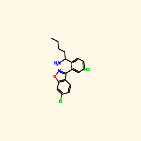 CCCCC(N)c1ccccc1-c1noc2cc(Cl)ccc12.Cl